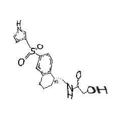 O=C(CO)NC[C@@H]1CCCc2cc(S(=O)(=O)c3cc[nH]c3)ccc21